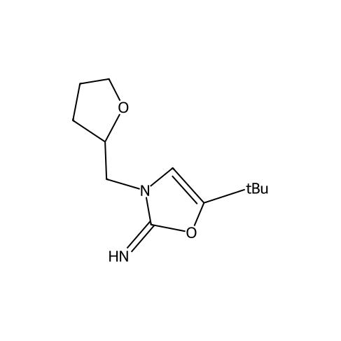 CC(C)(C)c1cn(CC2CCCO2)c(=N)o1